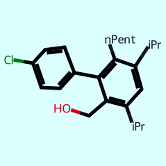 CCCCCc1c(C(C)C)cc(C(C)C)c(CO)c1-c1ccc(Cl)cc1